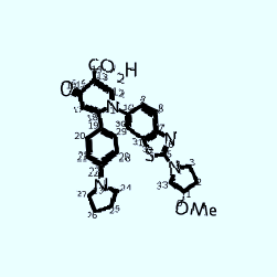 CO[C@H]1CCN(c2nc3ccc(-n4cc(C(=O)O)c(=O)cc4-c4ccc(N5CCCC5)cc4)cc3s2)C1